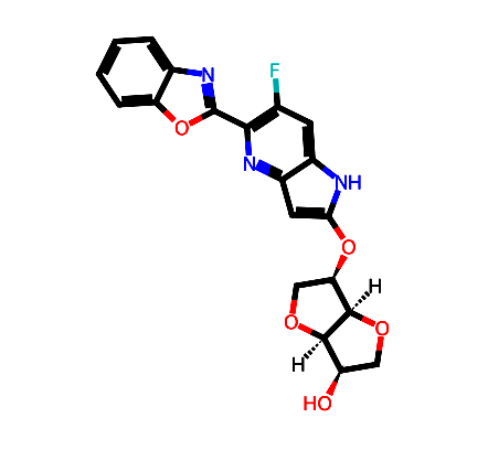 O[C@@H]1CO[C@H]2[C@@H]1OC[C@H]2Oc1cc2nc(-c3nc4ccccc4o3)c(F)cc2[nH]1